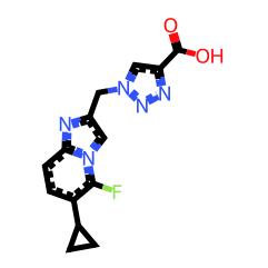 O=C(O)c1cn(Cc2cn3c(F)c(C4CC4)ccc3n2)nn1